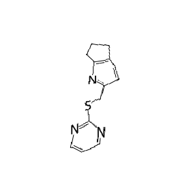 c1cnc(SCc2ccc3c(n2)CCC3)nc1